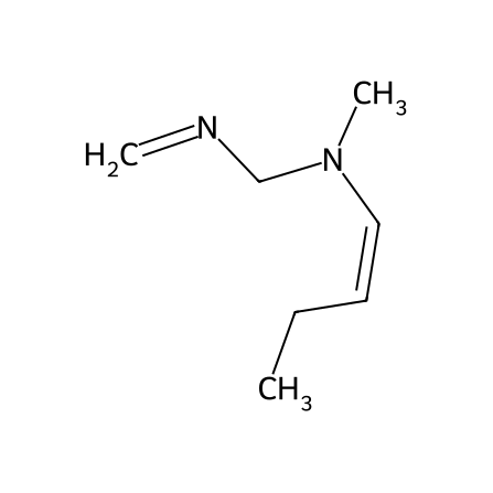 C=NCN(C)/C=C\CC